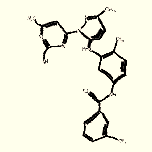 Cc1cc(-n2nc(C)cc2Nc2cc(NC(=O)c3cccc(C(F)(F)F)c3)ccc2C)nc(S)n1